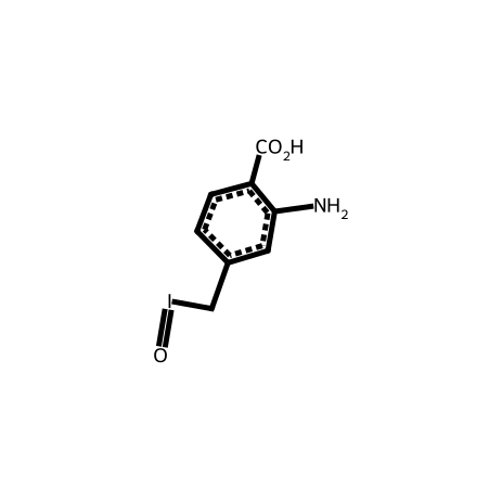 Nc1cc(CI=O)ccc1C(=O)O